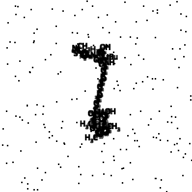 Cc1ncsc1-c1ccc(CNC(=O)[C@@H]2C[C@@H](O)CN2C(=O)C(NC(=O)COCCOCCOCCOCCOCCNC(=O)CCC(C)(C)C(=O)O[C@H]2C[C@@H](C)C=C3C=C[C@H](C)[C@H](CC[C@@H]4C[C@@H](O)CC(=O)O4)[C@H]32)C(C)(C)C)cc1